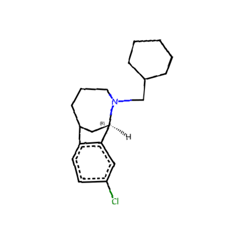 Clc1ccc2c(c1)[C@H]1CC2CCCN1CC1CCCCC1